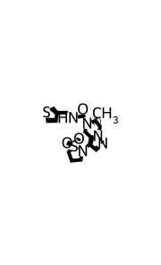 C[C@H]1Cn2ncc(N3CCCS3(=O)=O)c2CN1C(=O)NCc1ccsc1